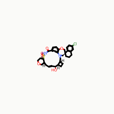 O=C1NS(=O)(=O)[C@@H]2CCOC[C@H]2C/C=C/[C@H](O)[C@@H]2CC[C@H]2CN2C[C@@]3(CCCc4cc(Cl)ccc43)COc3ccc1cc32